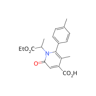 CCOC(=O)C(C)n1c(-c2ccc(C)cc2)c(C)c(C(=O)O)cc1=O